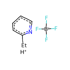 CCc1ccccn1.F[B-](F)(F)F.[H+]